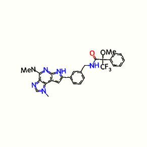 CNc1nc2[nH]c(-c3cccc(CNC(=O)[C@](OC)(c4ccccc4)C(F)(F)F)c3)cc2c2c1ncn2C